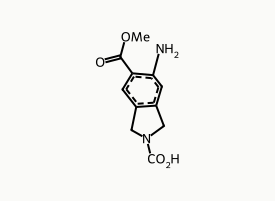 COC(=O)c1cc2c(cc1N)CN(C(=O)O)C2